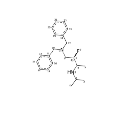 CC(C)NC(C)[C@H](F)CN(Cc1ccccc1)Cc1ccccc1